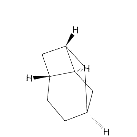 C1C[C@@H]2C[C@@H]3C[C@H]1C[C@@H]23